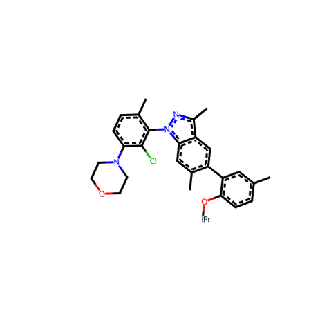 Cc1ccc(OC(C)C)c(-c2cc3c(C)nn(-c4c(C)ccc(N5CCOCC5)c4Cl)c3cc2C)c1